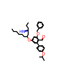 CCCCCCC(CC(=N)CCC)Oc1cc(OCc2ccccc2)c(C=O)c(-c2ccc(OC(C)C)cc2)c1